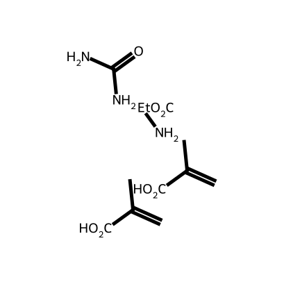 C=C(C)C(=O)O.C=C(C)C(=O)O.CCOC(N)=O.NC(N)=O